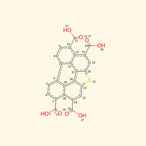 O=C(O)c1ccc2c3ccc(C(=O)O)c4c(C(=O)O)cc5sc6cc(C(=O)O)c1c2c6c5c43